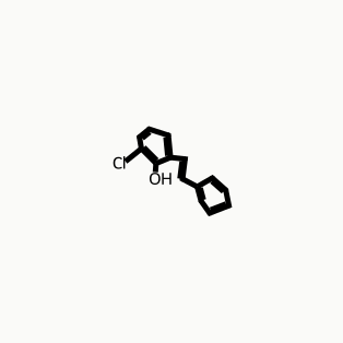 Oc1c(Cl)cccc1C=Cc1ccccc1